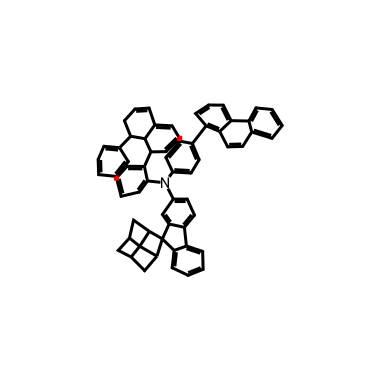 C1=CC(c2ccccc2N(c2ccc(-c3cccc4c3ccc3ccccc34)cc2)c2ccc3c(c2)C2(c4ccccc4-3)C3CC4CC5CC2C453)C2C(=C1)C=CCC2c1ccccc1